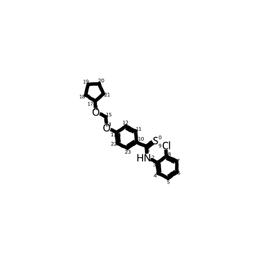 S=C(Nc1ccccc1Cl)c1ccc(OCOC2CCCC2)cc1